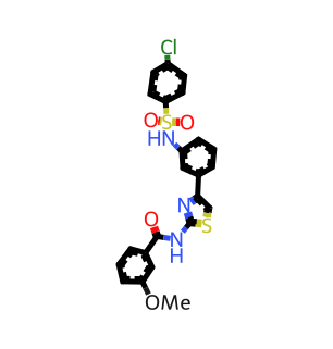 COc1cccc(C(=O)Nc2nc(-c3cccc(NS(=O)(=O)c4ccc(Cl)cc4)c3)cs2)c1